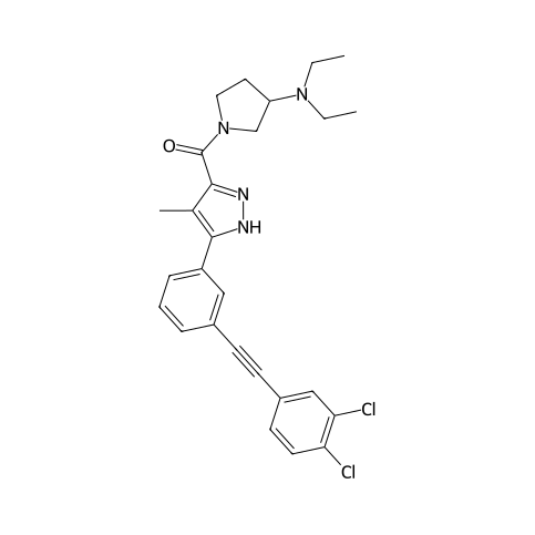 CCN(CC)C1CCN(C(=O)c2n[nH]c(-c3cccc(C#Cc4ccc(Cl)c(Cl)c4)c3)c2C)C1